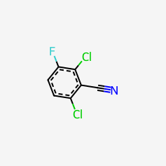 N#Cc1c(Cl)ccc(F)c1Cl